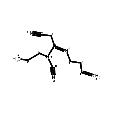 C=CCCN=C(CC#N)N(C#N)CCC